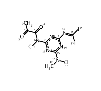 CC(=O)C(=O)N(Cl)c1nc(N=C(I)I)nc(N(C)Cl)n1